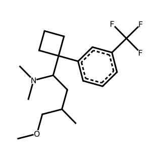 COCC(C)CC(N(C)C)C1(c2cccc(C(F)(F)F)c2)CCC1